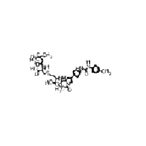 CC(=O)N1CC(c2ccc(NC(=O)Nc3ccc(C)cc3)cc2)CC1C(=O)NC(CCSCC(NC(=O)CC(C)(C)C)C(=O)O)C(=O)O